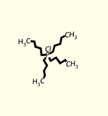 CCCCCP(Cl)(CCCCC)(CCCCC)CCCCC